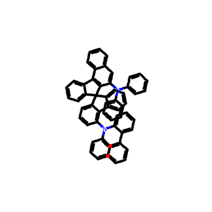 c1ccc(-c2ccccc2N(c2ccccc2)c2cccc3c2-c2ccccc2C32c3ccccc3-c3c2c(N(c2ccccc2)c2ccccc2)cc2ccccc32)cc1